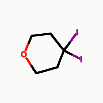 IC1(I)CCOCC1